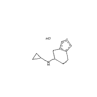 Cl.c1scc2c1CCC(NC1CC1)C2